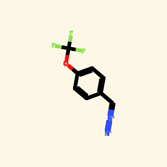 [N-]=[N+]=Cc1ccc(OC(F)(F)F)cc1